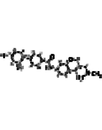 CN(C)CC1=Cc2ccc(NC(=O)c3ccc(-c4ccc(F)cc4F)cc3)cc2OC1